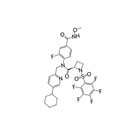 CONC(=O)c1ccc(N(Cc2ccc(C3CCCCC3)cn2)C(=O)[C@H]2CCN2S(=O)(=O)c2c(F)c(F)c(F)c(F)c2F)c(F)c1